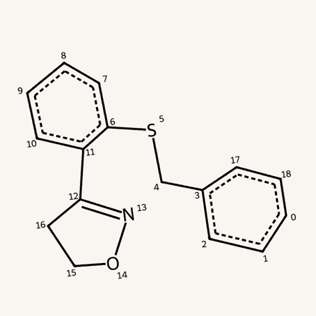 c1ccc(CSc2ccccc2C2=NOCC2)cc1